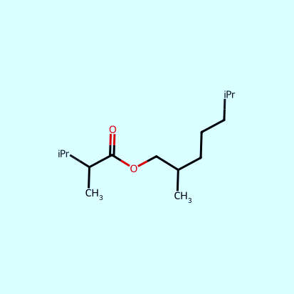 CC(C)CCCC(C)COC(=O)C(C)C(C)C